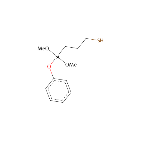 CO[Si](CCCS)(OC)Oc1ccccc1